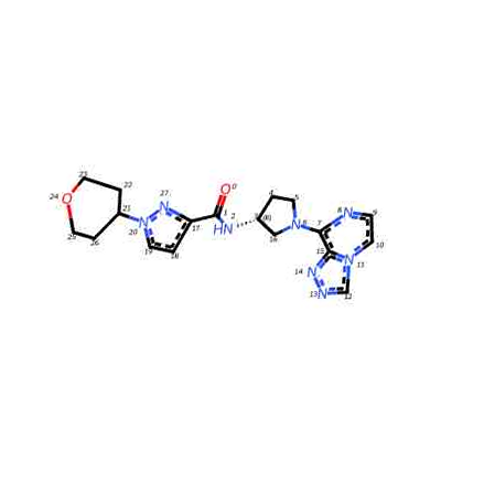 O=C(N[C@@H]1CCN(c2nccn3cnnc23)C1)c1ccn(C2CCOCC2)n1